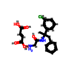 CC(Cc1ccccc1)(NC(=O)CN)c1cccc(Cl)c1.O=C(O)C=CC(=O)O